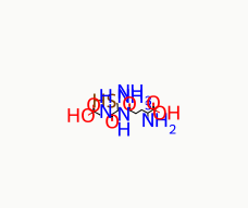 N.N.NC(CCC(=O)NC(CS)C(=O)NCC(=O)O)C(=O)O